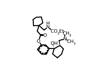 CCOC(=O)NCC1(CC(=O)Oc2cccc([C@]3(O)CCCC[C@@H]3CN(C)C)c2)CCCCC1